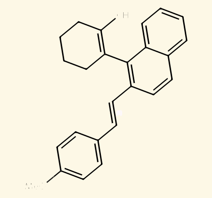 COc1ccc(/C=C/c2ccc3ccccc3c2C2=C(C)CCCC2)cc1